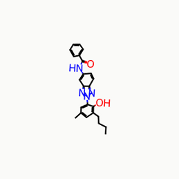 CCCCc1cc(C)cc(-n2nc3ccc(NC(=O)c4ccccc4)cc3n2)c1O